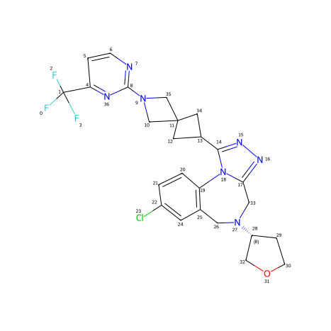 FC(F)(F)c1ccnc(N2CC3(CC(c4nnc5n4-c4ccc(Cl)cc4CN([C@@H]4CCOC4)C5)C3)C2)n1